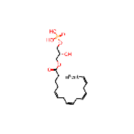 CCCCC/C=C\C/C=C\C/C=C\C/C=C\CCCC(=O)OC[C@@H](O)COP(=O)(O)O